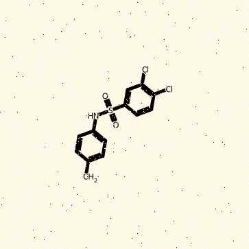 [CH2]c1ccc(NS(=O)(=O)c2ccc(Cl)c(Cl)c2)cc1